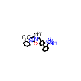 CCCc1c(C(F)(F)F)n(C2CCCCC2)c(=O)n1Cc1ccc(-c2ccccc2-c2nnn[nH]2)cc1